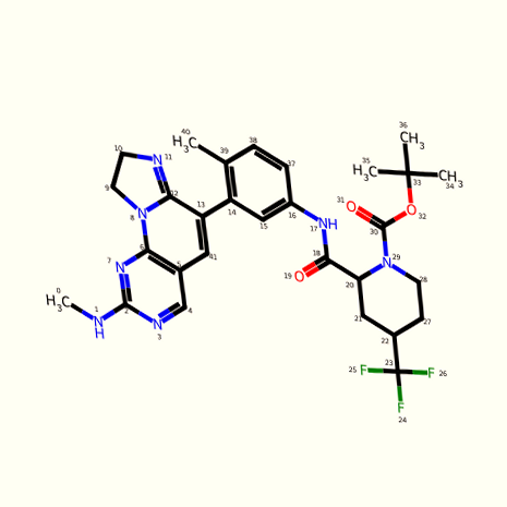 CNc1ncc2c(n1)N1CCN=C1C(c1cc(NC(=O)C3CC(C(F)(F)F)CCN3C(=O)OC(C)(C)C)ccc1C)=C2